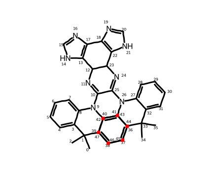 CC1(C)c2ccccc2N(C2=NC3c4[nH]cnc4-c4nc[nH]c4C3N=C2N2c3ccccc3C(C)(C)c3ccccc32)c2ccccc21